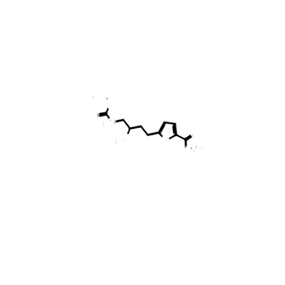 COC(=O)c1ccc(CCC(O)CNC(=O)OC(C)(C)C)s1